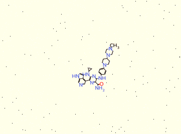 CN1CCN(C2CCN(c3ccc(Nc4nc(NC5CC5)c(-c5cncc6[nH]ccc56)nc4C(N)=O)cc3)CC2)CC1